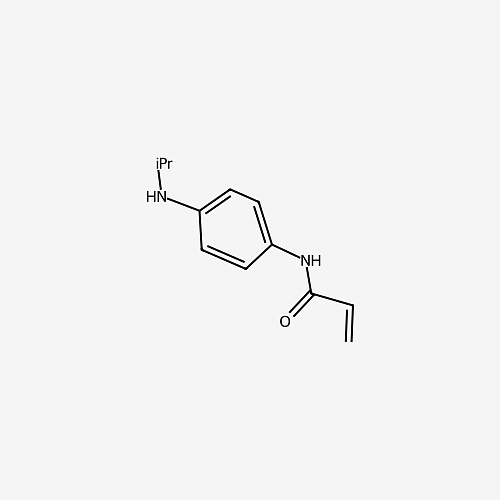 C=CC(=O)Nc1ccc(NC(C)C)cc1